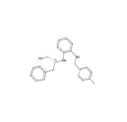 Cc1ccc(CNc2ccccc2N[C@@H](CO)Cc2ccccc2)cc1